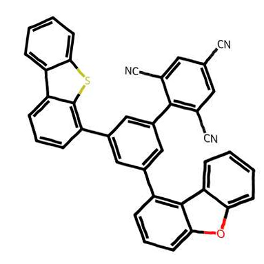 N#Cc1cc(C#N)c(-c2cc(-c3cccc4c3sc3ccccc34)cc(-c3cccc4oc5ccccc5c34)c2)c(C#N)c1